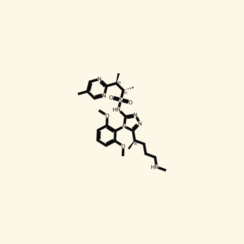 CNCCC[C@@H](C)c1nnc(NS(=O)(=O)[C@@H](C)[C@H](C)c2ncc(C)cn2)n1-c1c(OC)cccc1OC